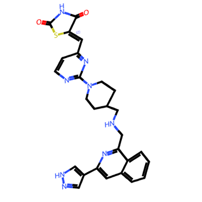 O=C1NC(=O)/C(=C/c2ccnc(N3CCC(CNCc4nc(-c5cn[nH]c5)cc5ccccc45)CC3)n2)S1